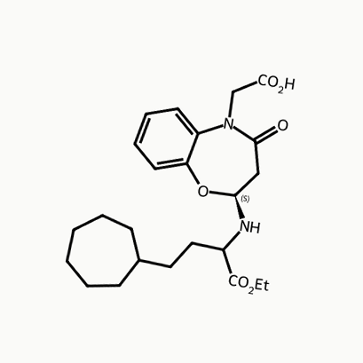 CCOC(=O)C(CCC1CCCCCC1)N[C@@H]1CC(=O)N(CC(=O)O)c2ccccc2O1